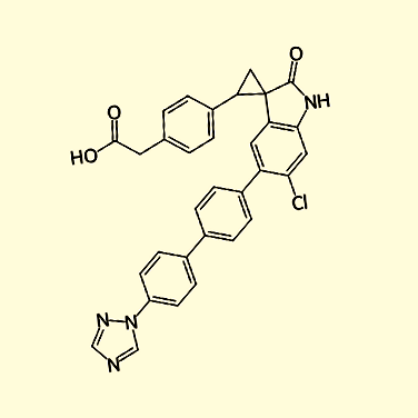 O=C(O)Cc1ccc(C2CC23C(=O)Nc2cc(Cl)c(-c4ccc(-c5ccc(-n6cncn6)cc5)cc4)cc23)cc1